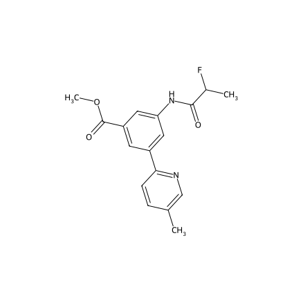 COC(=O)c1cc(NC(=O)C(C)F)cc(-c2ccc(C)cn2)c1